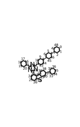 c1ccc(-c2ccc(-c3ccc(-c4nc(-c5ccccc5)nc(-c5cccc6sc7cc(-c8ccccc8)ccc7c56)n4)cc3)cc2)cc1